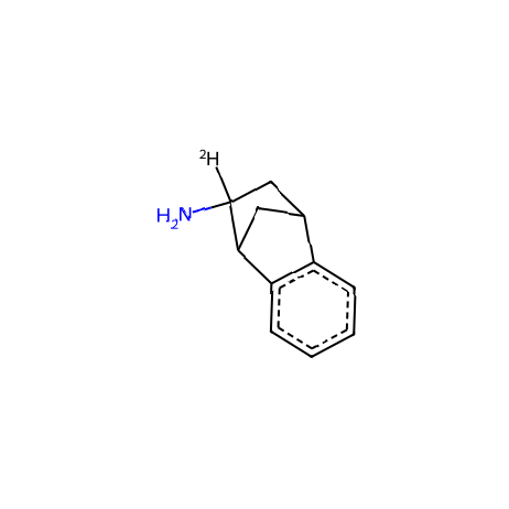 [2H]C1(N)CC2CC1c1ccccc12